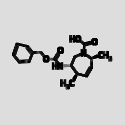 C[C@@H]1C=C[C@H](C)N(C(=O)O)C[C@H]1NC(=O)OCc1ccccc1